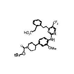 COc1cc(C2CCN(C(=O)OC(C)(C)C)CC2)ccc1Nc1ncc(C(F)(F)F)c(CCc2ccccc2CC(=O)O)n1